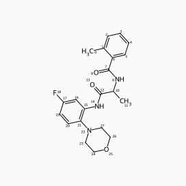 Cc1ccccc1C(=O)NC(C)C(=O)Nc1cc(F)ccc1N1CCOCC1